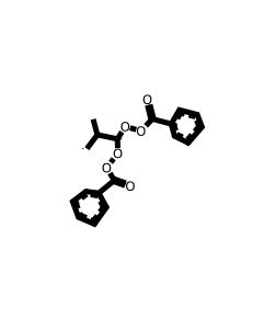 [CH2]C(C)[C](OOC(=O)c1ccccc1)OOC(=O)c1ccccc1